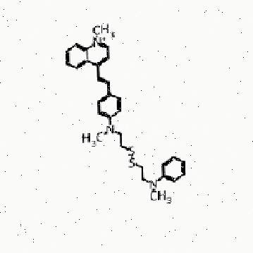 CN(CCSSCCN(C)c1ccc(/C=C/c2cc[n+](C)c3ccccc23)cc1)c1ccccc1